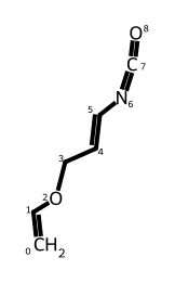 C=COCC=CN=C=O